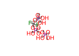 O=P(O)(O)OOP(=O)(O)OC(F)(F)OP(=O)(O)O